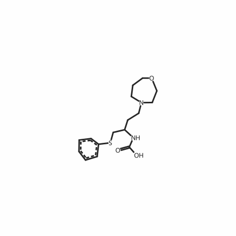 O=C(O)NC(CCN1CCCOCC1)CSc1ccccc1